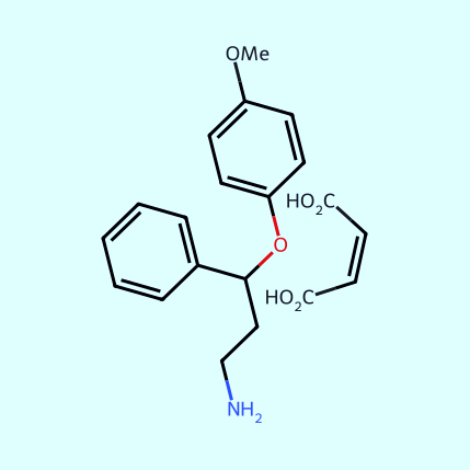 COc1ccc(OC(CCN)c2ccccc2)cc1.O=C(O)/C=C\C(=O)O